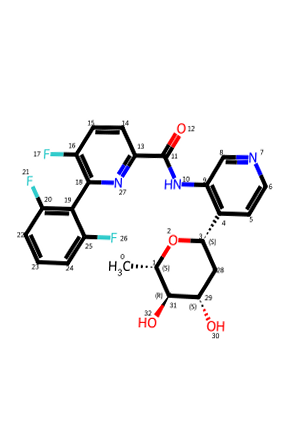 C[C@@H]1O[C@H](c2ccncc2NC(=O)c2ccc(F)c(-c3c(F)cccc3F)n2)C[C@H](O)[C@H]1O